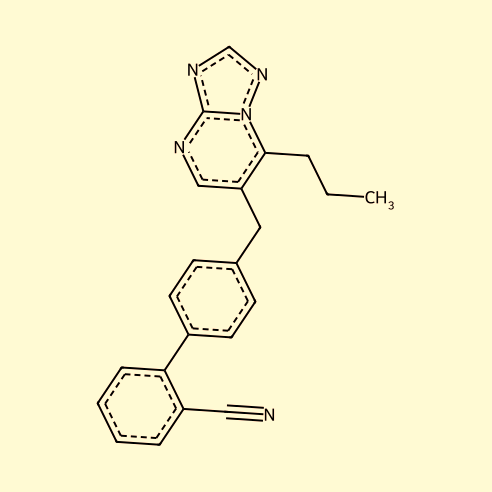 CCCc1c(Cc2ccc(-c3ccccc3C#N)cc2)cnc2ncnn12